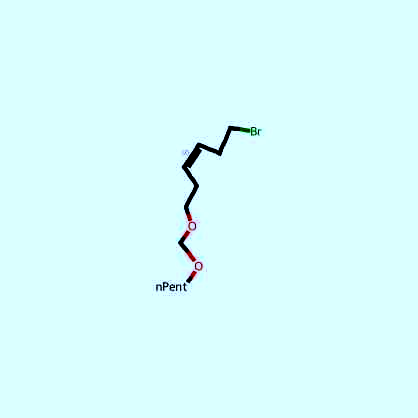 CCCCCOCOCC/C=C\CCBr